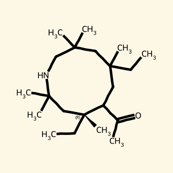 CCC1(C)CC(C(C)=O)[C@](C)(CC)CC(C)(C)NCC(C)(C)C1